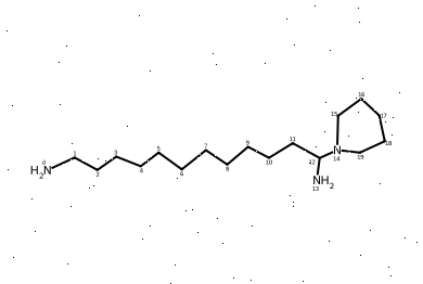 NCCCCCCCCCCCC(N)N1CCCCC1